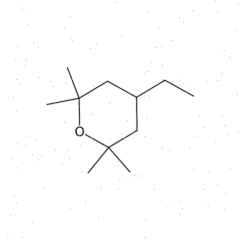 CCC1CC(C)(C)OC(C)(C)C1